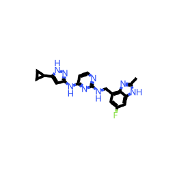 Cc1nc2c(CNc3nccc(Nc4cc(C5CC5)[nH]n4)n3)cc(F)cc2[nH]1